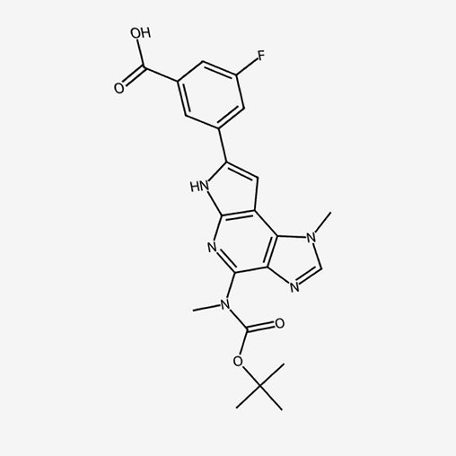 CN(C(=O)OC(C)(C)C)c1nc2[nH]c(-c3cc(F)cc(C(=O)O)c3)cc2c2c1ncn2C